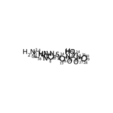 CC1(N)CCN(c2nc3ccc(Sc4cccc(NC(=O)C5=C(O)CN(c6ccccc6)C5=O)c4)nc3[nH]2)CC1